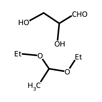 CCOC(C)OCC.O=CC(O)CO